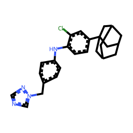 Clc1cc(C23CC4CC(CC(C4)C2)C3)ccc1Nc1ccc(Cn2cncn2)cc1